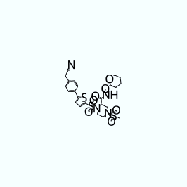 CS(=O)(=O)N1CCN(S(=O)(=O)c2ccc(-c3ccc(CC#N)cc3)s2)[C@@H](C(=O)NOC2CCCCO2)C1